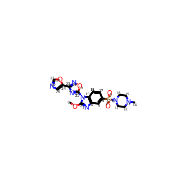 COc1nc2cc(S(=O)(=O)N3CCN(C)CC3)ccc2n1-c1nc(-c2cnco2)no1